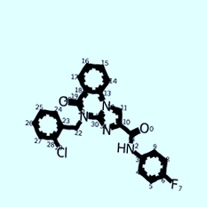 O=C(Nc1ccc(F)cc1)c1cn2c3ccccc3c(=O)n(Cc3ccccc3Cl)c2n1